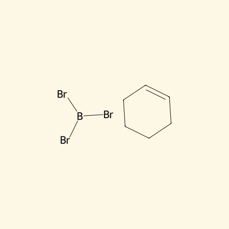 BrB(Br)Br.C1=CCCCC1